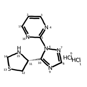 Cl.Cl.c1cnc(-n2ncnc2[C@@H]2CSCN2)nc1